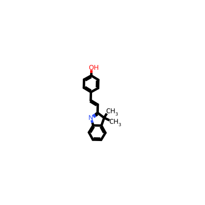 CC1(C)C(C=Cc2ccc(O)cc2)=Nc2ccccc21